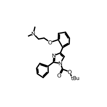 CN(C)CCOc1ccccc1-c1cn(C(=O)OC(C)(C)C)c(-c2ccccc2)n1